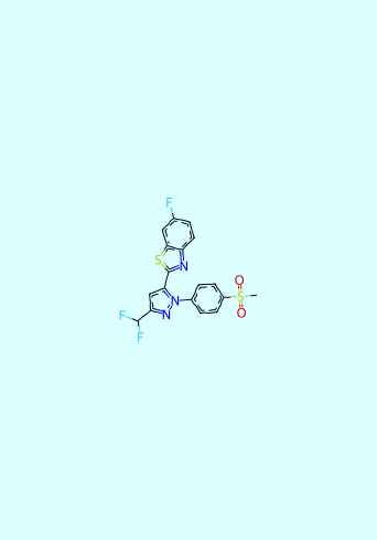 CS(=O)(=O)c1ccc(-n2nc(C(F)F)cc2-c2nc3ccc(F)cc3s2)cc1